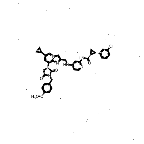 COc1ccc(CN2C(=O)CN(c3cc(C4CC4)cn4cc(CNc5ccnc(NC(=O)[C@H]6C[C@@H]6c6cccc(Cl)c6)c5)nc34)C2=O)cc1